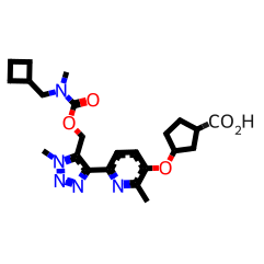 Cc1nc(-c2nnn(C)c2COC(=O)N(C)CC2CCC2)ccc1OC1CCC(C(=O)O)C1